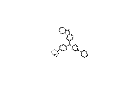 c1ccc(-c2ccc(N(c3ccc(C45CCC(CC4)C5)cc3)c3ccc4sc5ccccc5c4c3)cc2)cc1